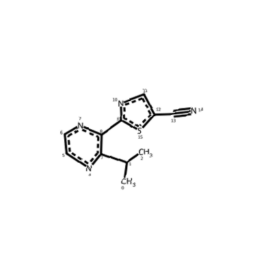 CC(C)c1nccnc1-c1ncc(C#N)s1